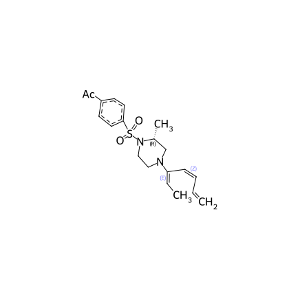 C=C/C=C\C(=C/C)N1CCN(S(=O)(=O)c2ccc(C(C)=O)cc2)[C@H](C)C1